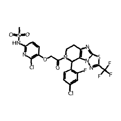 CS(=O)(=O)Nc1ccc(OCC(=O)N2CCc3nc4sc(C(F)(F)F)nn4c3C2c2ccc(Cl)cc2F)c(Cl)n1